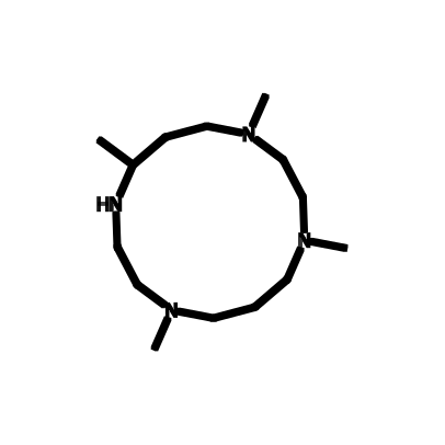 CC1CCN(C)CCN(C)CCCN(C)CCN1